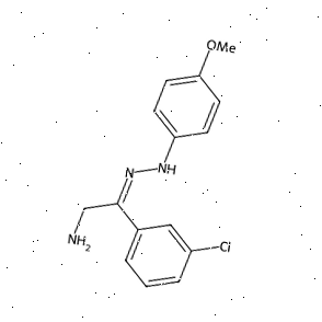 COc1ccc(NN=C(CN)c2cccc(Cl)c2)cc1